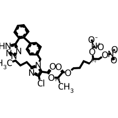 CCCCc1nc(Cl)c(C(=O)O[C@H](C)C(=O)OCCCC[C@H](CO[N+](=O)[O-])O[N+](=O)[O-])n1Cc1ccc(-c2ccccc2-c2nnn[nH]2)cc1